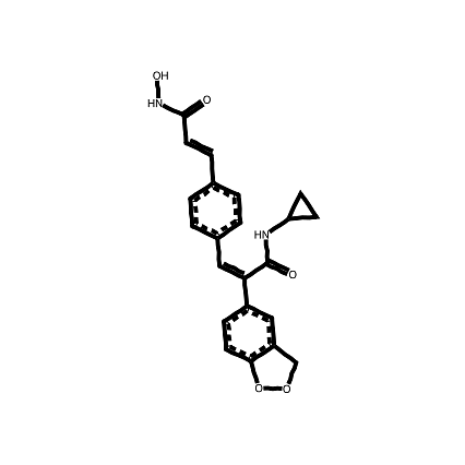 O=C(/C=C/c1ccc(/C=C(\C(=O)NC2CC2)c2ccc3c(c2)COO3)cc1)NO